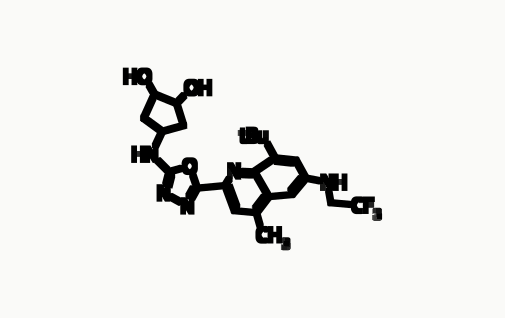 Cc1cc(-c2nnc(NC3CC(O)C(O)C3)o2)nc2c(C(C)(C)C)cc(NCC(F)(F)F)cc12